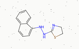 c1ccc2c(NNC3=NCCS3)cccc2c1